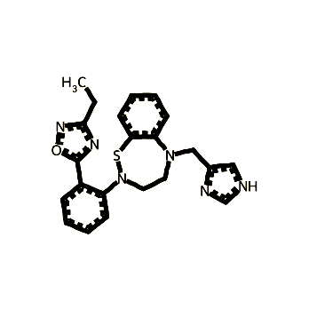 CCc1noc(-c2ccccc2N2CCN(Cc3c[nH]cn3)c3ccccc3S2)n1